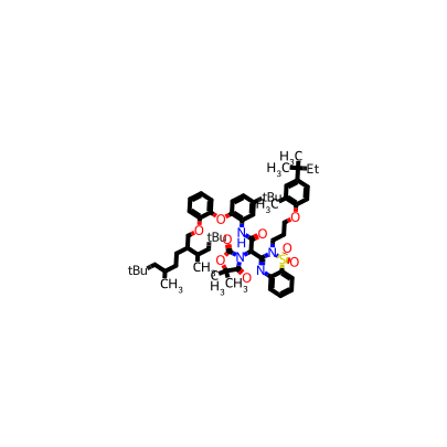 CCC(C)(C)c1ccc(OCCCN2C(C(C(=O)Nc3cc(C(C)(C)C)ccc3Oc3ccccc3OCC(CCC(C)CC(C)(C)C)C(C)CC(C)(C)C)N3C(=O)OC(C)(C)C3=O)=Nc3ccccc3S2(=O)=O)c(C)c1